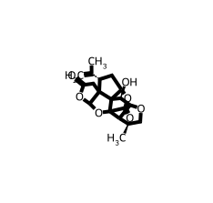 C=C(C)[C@@H]1CC2OC(=O)C34OC5OC(=O)CC51C23[C@@H](O)C1OC[C@@H](C)C14